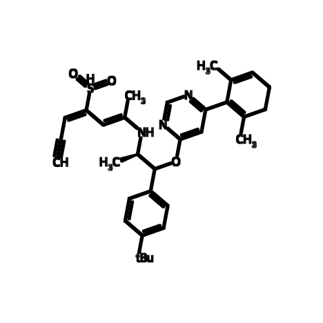 C#C/C=C(\C=C(/C)N[C@H](C)C(Oc1cc(C2=C(C)CCC=C2C)ncn1)c1ccc(C(C)(C)C)cc1)[SH](=O)=O